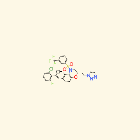 CC(=Cc1ccc2c(c1)N(S(=O)(=O)c1cccc(C(F)(F)F)c1)C[C@H](CCn1ccnn1)O2)c1c(F)cccc1Cl